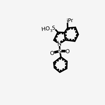 CC(C)c1cccc2c1c(S(=O)(=O)O)cn2S(=O)(=O)c1ccccc1